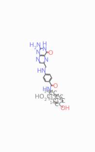 Nc1nc2ncc(CNc3ccc(C(=O)N[14C@@H]([14CH2][14c]4[14cH][14cH][14c](O)[14cH][14cH]4)[14C](=O)O)cc3)nc2c(=O)[nH]1